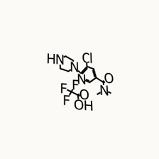 CN(C)C(=O)c1cnc(N2CCNCC2)c(Cl)c1.O=C(O)C(F)(F)F